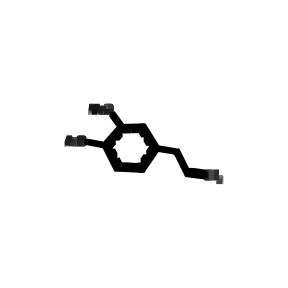 C=CCc1ccc(OC(C)=O)c(OC)c1